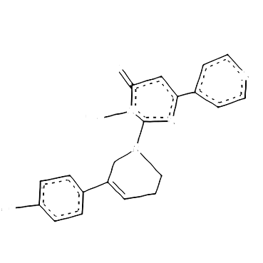 Cc1ccc(C2=CCCN(c3nc(-c4ccncc4)cc(=O)n3C)C2)cc1